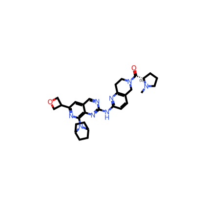 CN1CCC[C@H]1C(=O)N1CCc2nc(Nc3ncc4cc(C5COC5)nc(N5C6CCC5CC6)c4n3)ccc2C1